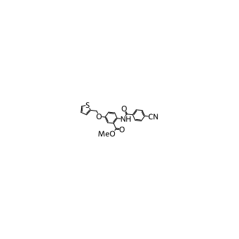 COC(=O)c1cc(OCc2cccs2)ccc1NC(=O)c1ccc(C#N)cc1